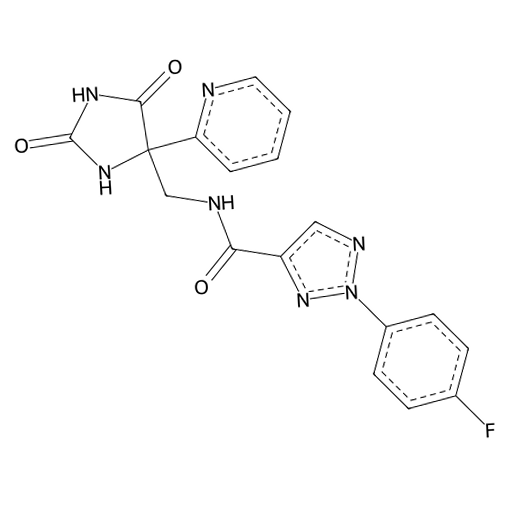 O=C1NC(=O)C(CNC(=O)c2cnn(-c3ccc(F)cc3)n2)(c2ccccn2)N1